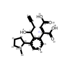 C#CCC(O)c1c(/C(=C/C(=O)O)C(=O)O)cncc1C1CCCN1C